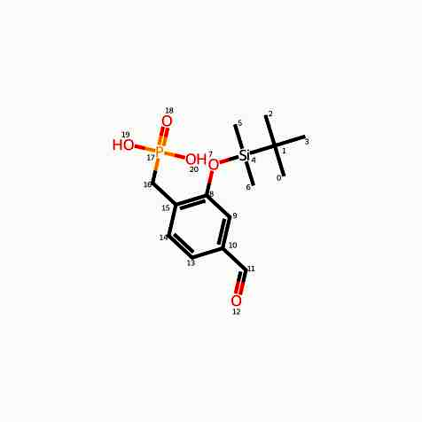 CC(C)(C)[Si](C)(C)Oc1cc(C=O)ccc1CP(=O)(O)O